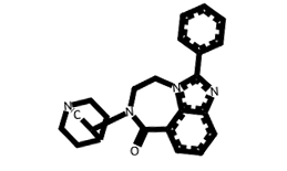 O=C1c2cccc3nc(-c4ccccc4)n(c23)CCN1C1CN2CCC1CC2